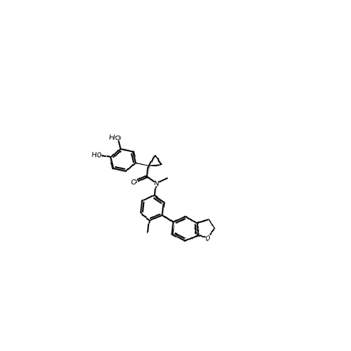 Cc1ccc(N(C)C(=O)C2(c3ccc(O)c(O)c3)CC2)cc1-c1ccc2c(c1)CCO2